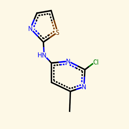 Cc1cc(Nc2nccs2)nc(Cl)n1